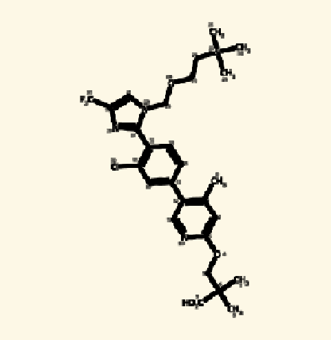 Cc1cc(OCC(C)(C)C(=O)O)ncc1-c1ccc(-c2nc(C(F)(F)F)cn2COCC[Si](C)(C)C)c(Cl)c1